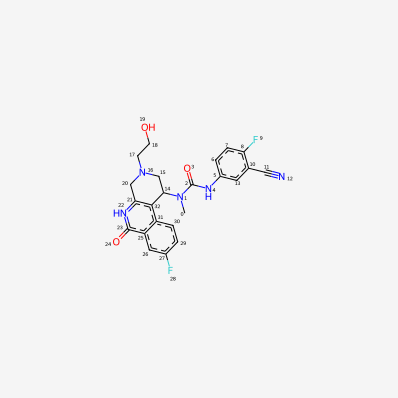 CN(C(=O)Nc1ccc(F)c(C#N)c1)C1CN(CCO)Cc2[nH]c(=O)c3cc(F)ccc3c21